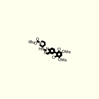 COc1cc(OC)c(Cl)c(-c2ccc3nc(NC4CCCN(C(=O)OC(C)(C)C)C4)ncc3c2)c1Cl